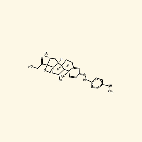 CNc1ccc(N/N=C2\C=C[C@@]3(C)C(=C2)CC[C@H]2[C@@H]4C[C@@H](C)[C@@]5(C(=O)CO)OC[C@]45C[C@H](O)[C@@]23F)cc1